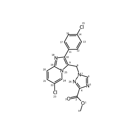 COC(=O)c1ncn(Cc2c(-c3ccc(Cl)cc3)nc3ccc(Cl)cn23)n1